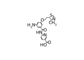 CC1N=CSC1CCOc1cc(N)cc(C(=O)Nc2ccc(C(=O)O)cn2)c1